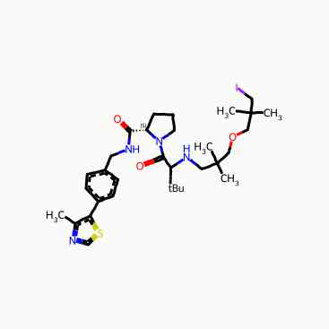 Cc1ncsc1-c1ccc(CNC(=O)[C@@H]2CCCN2C(=O)C(NCC(C)(C)COCC(C)(C)CI)C(C)(C)C)cc1